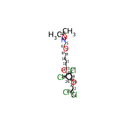 CC(C)O/N=C/COCCCCCCOc1c(Cl)cc(OCC=C(Cl)Cl)cc1Cl